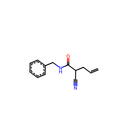 C=CCC(C#N)C(=O)NCc1ccccc1